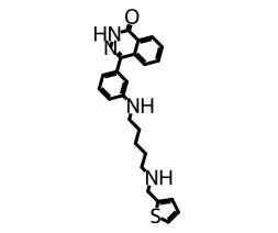 O=c1[nH]nc(-c2cccc(NCCCCCNCc3cccs3)c2)c2ccccc12